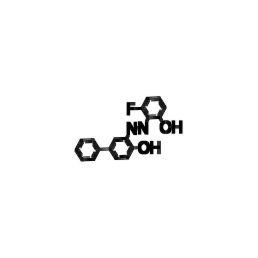 Oc1ccc(-c2ccccc2)cc1N=Nc1c(O)cccc1F